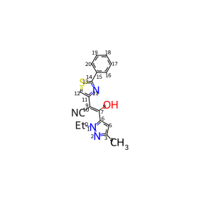 CCn1nc(C)cc1C(O)=C(C#N)c1csc(-c2ccccc2)n1